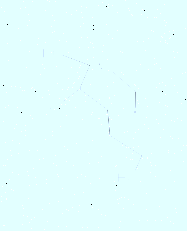 CC(=O)CC(C)=O.OCCCC(O)CO